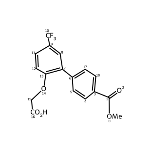 COC(=O)c1ccc(-c2cc(C(F)(F)F)ccc2OCC(=O)O)cc1